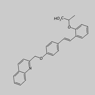 CC(Oc1ccccc1/C=C/c1ccc(OCc2ccc3ccccc3n2)cc1)C(=O)O